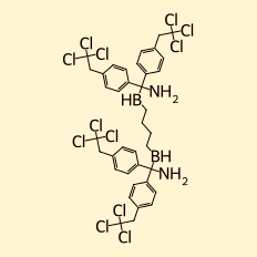 NC(BCCCCBC(N)(c1ccc(CC(Cl)(Cl)Cl)cc1)c1ccc(CC(Cl)(Cl)Cl)cc1)(c1ccc(CC(Cl)(Cl)Cl)cc1)c1ccc(CC(Cl)(Cl)Cl)cc1